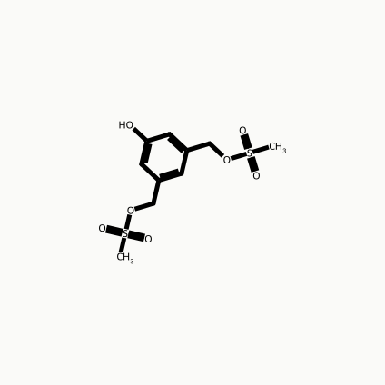 CS(=O)(=O)OCc1cc(O)cc(COS(C)(=O)=O)c1